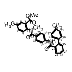 COC(=O)c1cc(C)ccc1N(C)C(=O)c1ccc(NC(=O)c2ccccc2-c2ccc(C)cc2)cc1